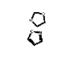 C1COCO1.c1cnoc1